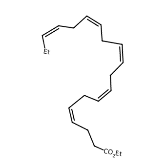 CC/C=C\C/C=C\C/C=C\C/C=C\C/C=C\CCC(=O)OCC